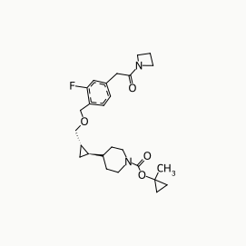 CC1(OC(=O)N2CCC([C@H]3C[C@@H]3COCc3ccc(CC(=O)N4CCC4)cc3F)CC2)CC1